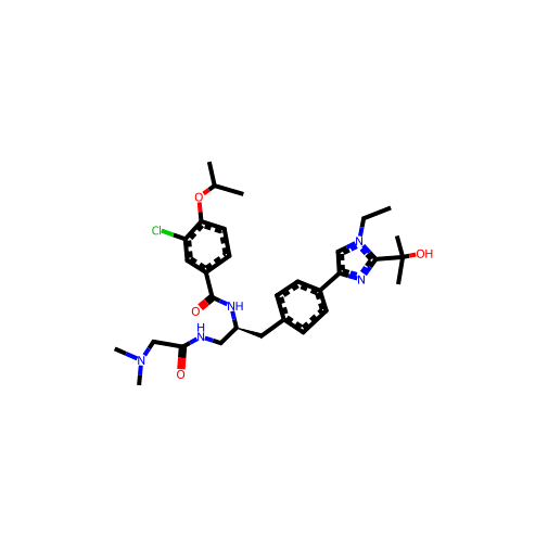 CCn1cc(-c2ccc(C[C@@H](CNC(=O)CN(C)C)NC(=O)c3ccc(OC(C)C)c(Cl)c3)cc2)nc1C(C)(C)O